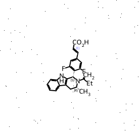 C=C(CC)N1[C@@H](c2c(F)cc(/C=C/C(=O)O)cc2F)c2[nH]c3ccccc3c2C[C@H]1C